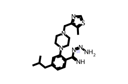 Cc1scnc1CN1CCN(c2cc(CC(C)C)ccc2C(=N)/N=N\N)CC1